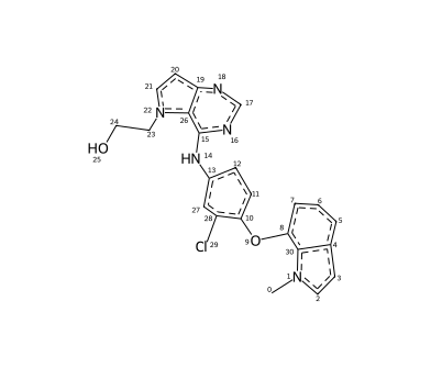 Cn1ccc2cccc(Oc3ccc(Nc4ncnc5ccn(CCO)c45)cc3Cl)c21